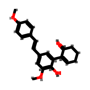 COc1ccc(/C=C/c2cc(OC)c(O)c(C3=CCCCC3=O)c2)cc1